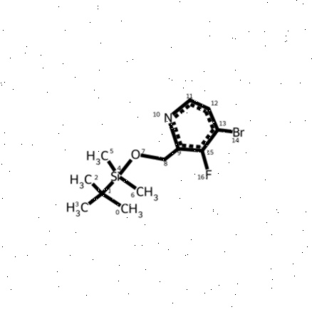 CC(C)(C)[Si](C)(C)OCc1nccc(Br)c1F